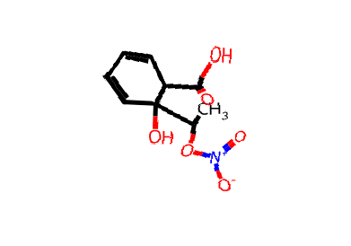 CC(O[N+](=O)[O-])C1(O)C=CC=CC1C(=O)O